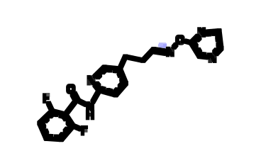 O=C(Nc1ccc(CC/C=N/Oc2cnccn2)cn1)c1c(F)cccc1F